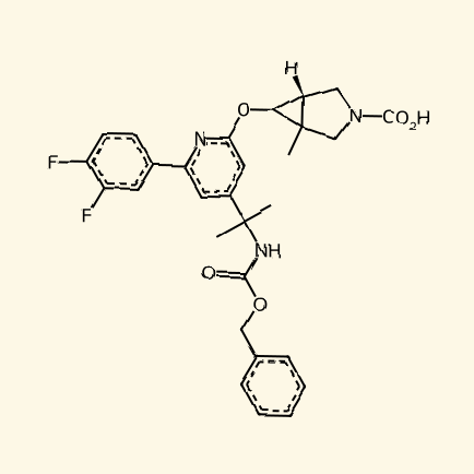 CC(C)(NC(=O)OCc1ccccc1)c1cc(OC2[C@@H]3CN(C(=O)O)CC23C)nc(-c2ccc(F)c(F)c2)c1